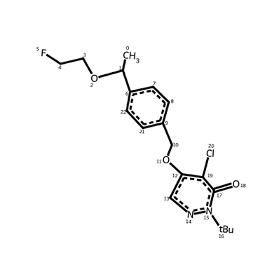 CC(OCCF)c1ccc(COc2cnn(C(C)(C)C)c(=O)c2Cl)cc1